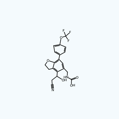 N#CCC(O)c1c(CNC(=O)O)cc(-c2ccc(OC(F)(F)F)cc2)c2c1CCO2